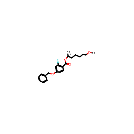 CCOCCCCCC(OC(=O)c1ccc(OCc2ccccc2)cc1F)C(F)(F)F